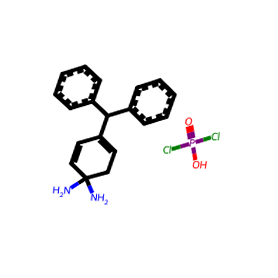 NC1(N)C=CC(C(c2ccccc2)c2ccccc2)=CC1.O=P(O)(Cl)Cl